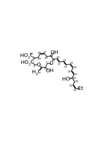 C=C(OCC(=O)O)C(O)COC(/C=C/C=C/C=C\C=C\C(O)C/C=C\CC)C(O)C/C=C\CCC(=O)O